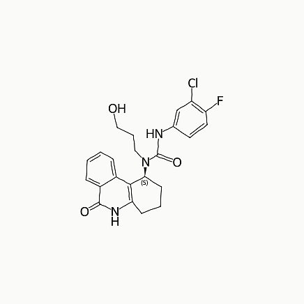 O=C(Nc1ccc(F)c(Cl)c1)N(CCCO)[C@H]1CCCc2[nH]c(=O)c3ccccc3c21